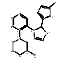 Cc1ccc(C2SC=CN2c2cnccc2N2CCCC(N)C2)s1